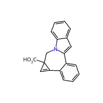 O=C(O)C12C=C1c1ccccc1-c1cc3ccccc3n1C2